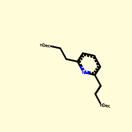 CCCCCCCCCCCCc1c[c]cc(CCCCCCCCCCCC)n1